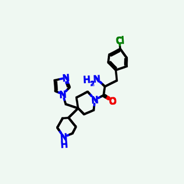 NC(Cc1ccc(Cl)cc1)C(=O)N1CCC(Cn2ccnc2)(C2CCNCC2)CC1